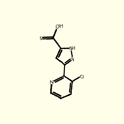 OC(=S)c1cc(-c2ncccc2Cl)n[nH]1